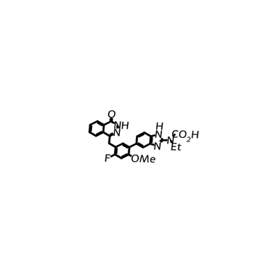 CCN(C(=O)O)c1nc2cc(-c3cc(Cc4n[nH]c(=O)c5ccccc45)c(F)cc3OC)ccc2[nH]1